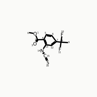 COC(=O)c1ccc(C(C)(F)F)cc1N=C=S